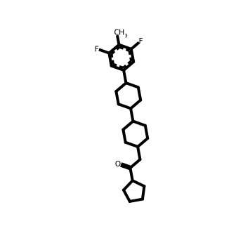 Cc1c(F)cc(C2CCC(C3CCC(CC(=O)C4CCCC4)CC3)CC2)cc1F